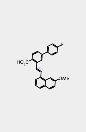 COc1ccc2cccc(/C=C/c3cc(-c4ccc(F)cc4)ccc3C(=O)O)c2c1